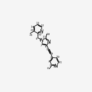 Cc1cc(C#Cc2cn(Cc3ncccc3C)c(C)n2)ccn1